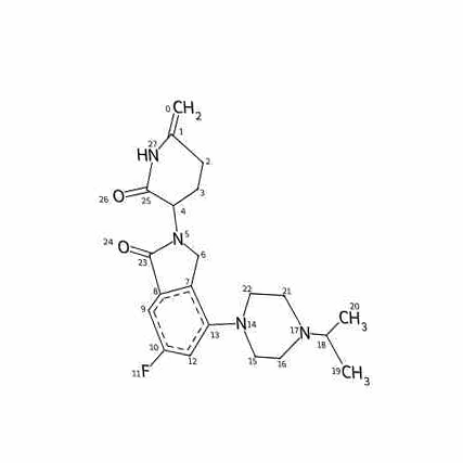 C=C1CCC(N2Cc3c(cc(F)cc3N3CCN(C(C)C)CC3)C2=O)C(=O)N1